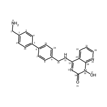 NCc1ccc(-c2ccc(CNc3nc(=O)n(O)c4ncccc34)cc2)cc1